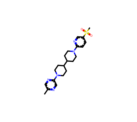 Cc1cnc(N2CCC(C3CCN(c4ccc(S(C)(=O)=O)cn4)CC3)CC2)cn1